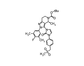 Cc1cc(-n2nc3c(c2-n2ccn(-c4ccc(CS(C)(=O)=O)cc4)c2=O)[C@H](C)N(C(=O)OC(C)(C)C)CC3)cc(C)c1F